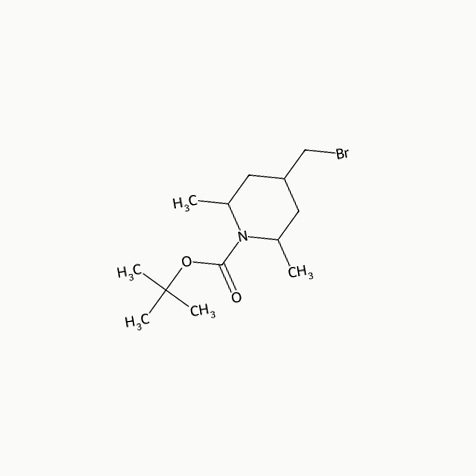 CC1CC(CBr)CC(C)N1C(=O)OC(C)(C)C